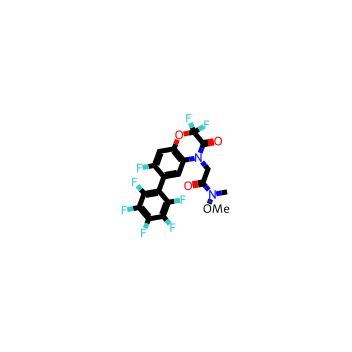 CON(C)C(=O)CN1C(=O)C(F)(F)Oc2cc(F)c(-c3c(F)c(F)c(F)c(F)c3F)cc21